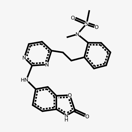 CN(c1ccccc1CCc1ccnc(Nc2ccc3[nH]c(=O)oc3c2)n1)S(C)(=O)=O